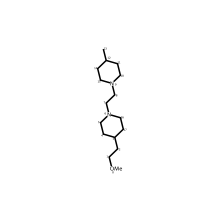 COCCC1CCN(CCN2CCC(C)CC2)CC1